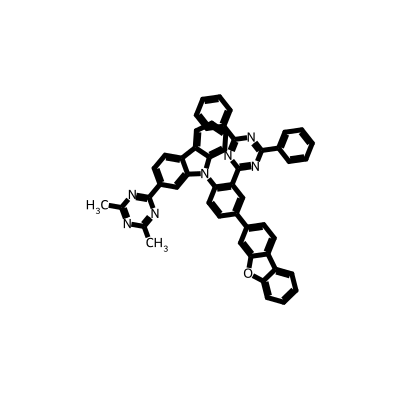 Cc1nc(C)nc(-c2ccc3c4ccccc4n(-c4ccc(-c5ccc6c(c5)oc5ccccc56)cc4-c4nc(-c5ccccc5)nc(-c5ccccc5)n4)c3c2)n1